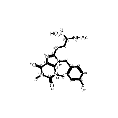 CC(=O)N[C@@H](CSc1nc2c(=O)n(C)c(=O)n(C)c2n1Cc1ccc(F)cc1)C(=O)O